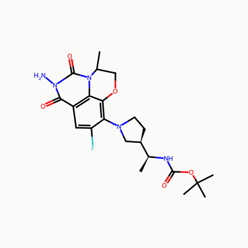 CC1COc2c(N3CC[C@@H]([C@H](C)NC(=O)OC(C)(C)C)C3)c(F)cc3c(=O)n(N)c(=O)n1c23